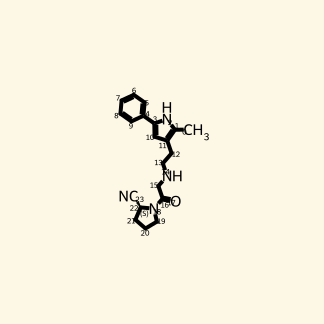 Cc1[nH]c(-c2ccccc2)cc1CCNCC(=O)N1CCC[C@H]1C#N